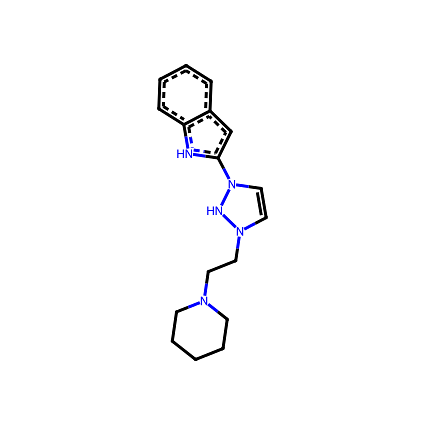 C1=CN(c2cc3ccccc3[nH]2)NN1CCN1CCCCC1